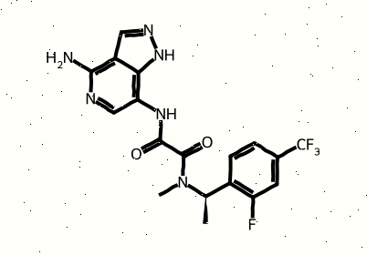 C[C@H](c1ccc(C(F)(F)F)cc1F)N(C)C(=O)C(=O)Nc1cnc(N)c2cn[nH]c12